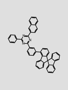 c1ccc(-c2nc(-c3cccc(-c4cccc5c4-c4ccccc4C54c5ccccc5-c5ccccc54)c3)nc(-c3ccc4ccccc4c3)n2)cc1